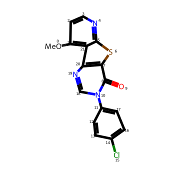 COc1ccnc2sc3c(=O)n(-c4ccc(Cl)cc4)cnc3c12